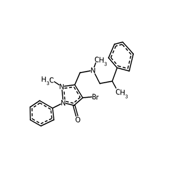 CC(CN(C)Cc1c(Br)c(=O)n(-c2ccccc2)n1C)c1ccccc1